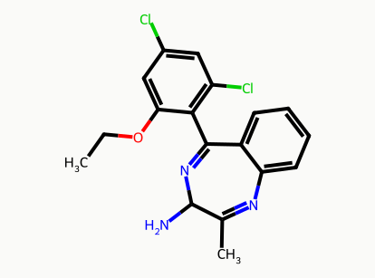 CCOc1cc(Cl)cc(Cl)c1C1=NC(N)C(C)=Nc2ccccc21